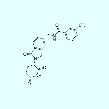 O=C1CCC(N2Cc3cc(CNC(=O)c4cccc(C(F)(F)F)c4)ccc3C2=O)C(=O)N1